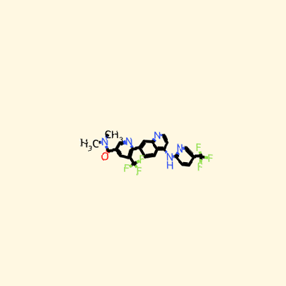 CN(C)C(=O)c1cnc(-c2ccc3c(Nc4ccc(C(F)(F)F)cn4)ccnc3c2)c(C(F)(F)F)c1